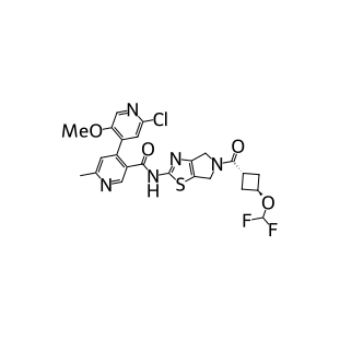 COc1cnc(Cl)cc1-c1cc(C)ncc1C(=O)Nc1nc2c(s1)CN(C(=O)[C@H]1C[C@H](OC(F)F)C1)C2